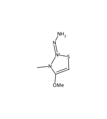 COC1=CS[N+](=NN)N1C